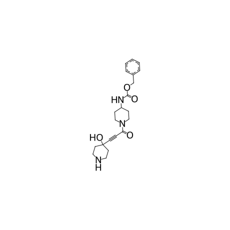 O=C(NC1CCN(C(=O)C#CC2(O)CCNCC2)CC1)OCc1ccccc1